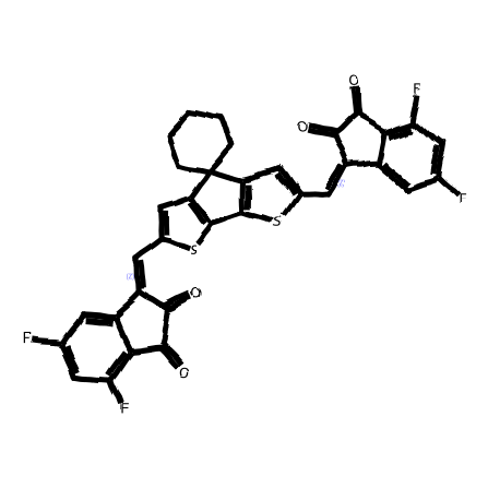 O=C1C(=O)c2c(F)cc(F)cc2/C1=C/c1cc2c(s1)-c1sc(/C=C3\C(=O)C(=O)c4c(F)cc(F)cc43)cc1C21CCCCC1